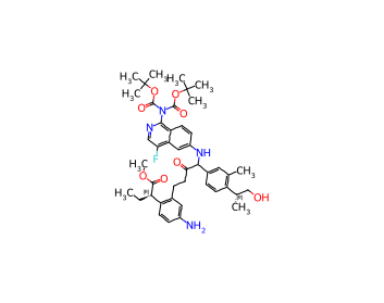 CC[C@@H](C(=O)OC)c1ccc(N)cc1CCC(=O)C(Nc1ccc2c(N(C(=O)OC(C)(C)C)C(=O)OC(C)(C)C)ncc(F)c2c1)c1ccc([C@@H](C)CO)c(C)c1